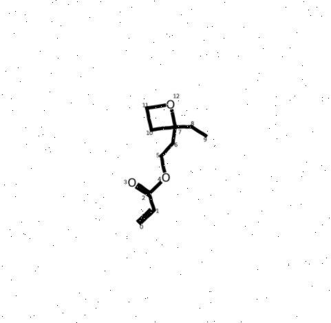 C=CC(=O)OCCC1(CC)CCO1